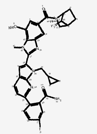 COc1cc(C(=O)N2CC3CCC2[C@@H]3N)cc2nc(-c3cc4ccc(-c5ccc(F)cc5C(N)=O)nc4n3CC3CC3)n(C)c12